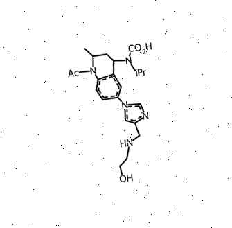 CC(=O)N1c2ccc(-n3cnc(CNCCO)c3)cc2C(N(C(=O)O)C(C)C)CC1C